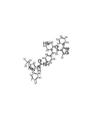 Cc1ccc(-n2nc(C(C)(C)C)cc2NC(=O)Nc2ccc(C(CC(=O)c3c(-c4ccccc4)noc3C)C3CCNCC3)cc2)cc1